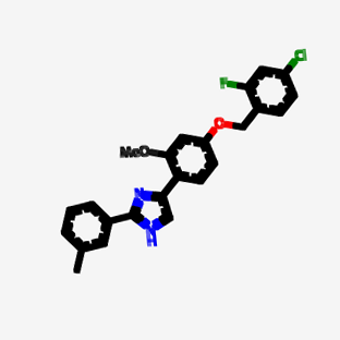 COc1cc(OCc2ccc(Cl)cc2F)ccc1-c1c[nH]c(-c2cccc(C)c2)n1